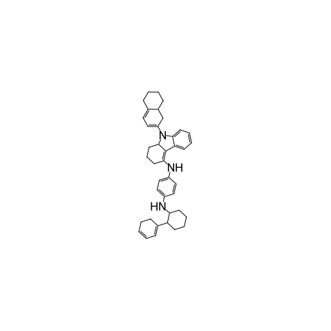 C1=CCCC(C2CCCCC2Nc2ccc(NC3=C4c5ccccc5N(C5=CC=C6CCCCC6C5)C4CCC3)cc2)=C1